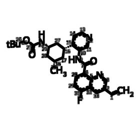 C=Cc1cnc2c(C(=O)Nc3cnccc3[C@@H]3C[C@H](C)C[C@H](NC(=O)OC(C)(C)C)C3)ccc(F)c2c1